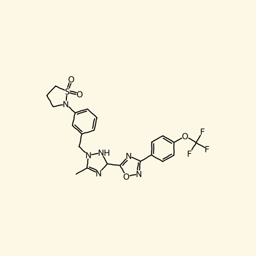 CC1=NC(c2nc(-c3ccc(OC(F)(F)F)cc3)no2)NN1Cc1cccc(N2CCCS2(=O)=O)c1